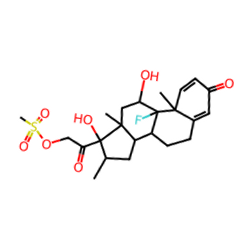 CC1CC2C3CCC4=CC(=O)C=CC4(C)C3(F)C(O)CC2(C)C1(O)C(=O)COS(C)(=O)=O